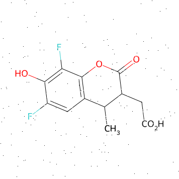 CC1c2cc(F)c(O)c(F)c2OC(=O)C1CC(=O)O